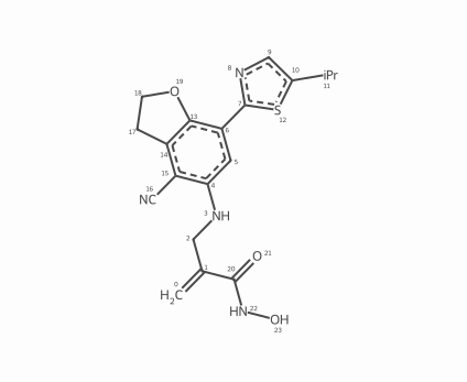 C=C(CNc1cc(-c2ncc(C(C)C)s2)c2c(c1C#N)CCO2)C(=O)NO